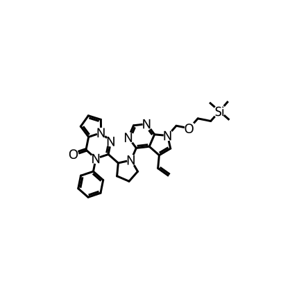 C=Cc1cn(COCC[Si](C)(C)C)c2ncnc(N3CCCC3c3nn4cccc4c(=O)n3-c3ccccc3)c12